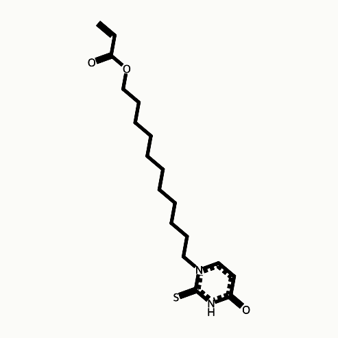 C=CC(=O)OCCCCCCCCCCCn1ccc(=O)[nH]c1=S